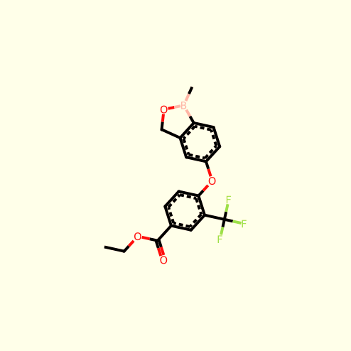 CCOC(=O)c1ccc(Oc2ccc3c(c2)COB3C)c(C(F)(F)F)c1